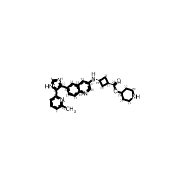 Cc1cccc(-c2[nH]cnc2-c2ccc3ncc(N[C@H]4C[C@H](C(=O)OC5CCNCC5)C4)cc3c2)n1